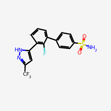 NS(=O)(=O)c1ccc(-c2cc[c]c(-c3cc(C(F)(F)F)n[nH]3)c2F)cc1